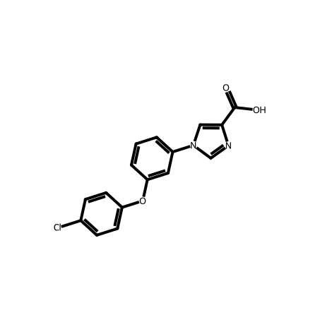 O=C(O)c1cn(-c2cccc(Oc3ccc(Cl)cc3)c2)cn1